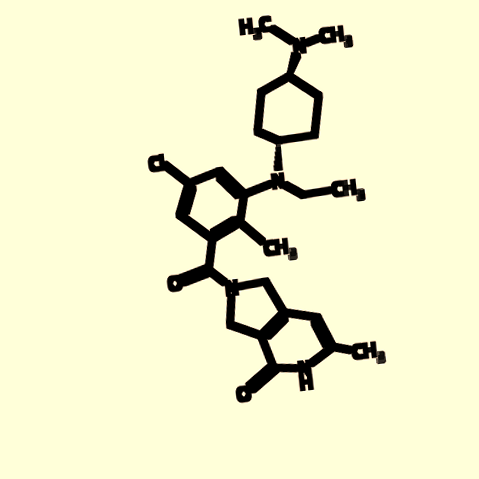 CCN(c1cc(Cl)cc(C(=O)N2Cc3cc(C)[nH]c(=O)c3C2)c1C)[C@H]1CC[C@H](N(C)C)CC1